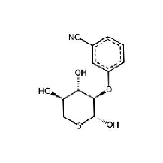 N#Cc1cccc(O[C@@H]2[C@@H](O)[C@H](O)CS[C@H]2O)c1